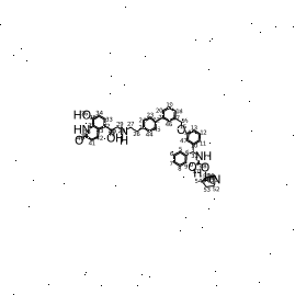 O=C(NC(c1ccccc1)c1cccc(OCc2cccc(-c3ccc(CCNC[C@H](O)c4ccc(O)c5[nH]c(=O)ccc45)cc3)c2)c1)O[C@H]1CN2CCC1CC2